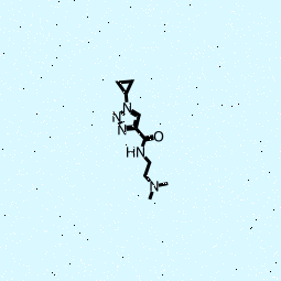 CN(C)CCNC(=O)c1cn(C2CC2)nn1